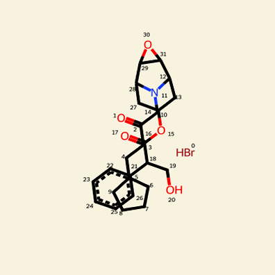 Br.O=C(CCC1CCCC1)CN1C2CC(OC(=O)C(CO)c3ccccc3)CC1C1OC12